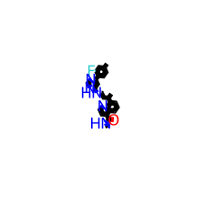 CNC(=O)c1ccnc2c(C(C)CCNc3cc(-c4ccc(C)cc4F)ncn3)cccc12